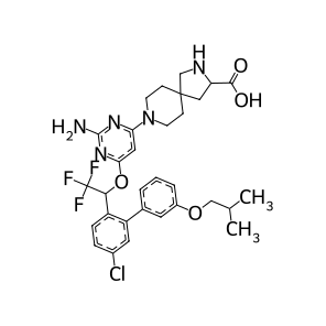 CC(C)COc1cccc(-c2cc(Cl)ccc2C(Oc2cc(N3CCC4(CC3)CNC(C(=O)O)C4)nc(N)n2)C(F)(F)F)c1